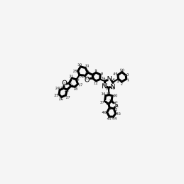 c1ccc(-c2nc(-c3ccc4c(c3)oc3c(-c5ccc6c(c5)oc5ccccc56)cccc34)nc(-c3ccc4c(c3)sc3ccccc34)n2)cc1